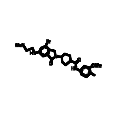 CNCCNc1cc(Br)c2c(c1)C(=O)N(C1CCC(C(=O)Nc3ccc(C)c(OC)c3)CC1)C2